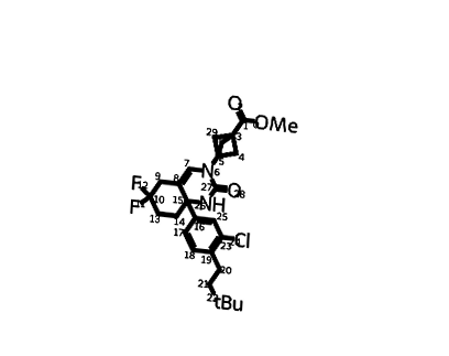 COC(=O)C12CC(N3C=C4CC(F)(F)CCC4(c4ccc(CCC(C)(C)C)c(Cl)c4)NC3=O)(C1)C2